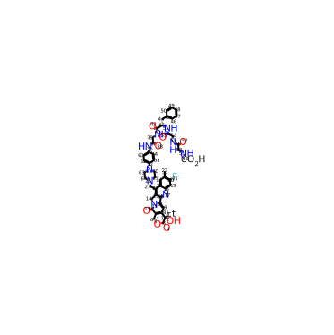 CC[C@@]1(O)C(=O)OCc2c1cc1n(c2=O)Cc2c-1nc1cc(F)c(C)cc1c2CN1CCN(c2ccc(NC(=O)CNC(=O)[C@H](Cc3ccccc3)NC(=O)CNC(=O)CNC(=O)O)cc2)CC1